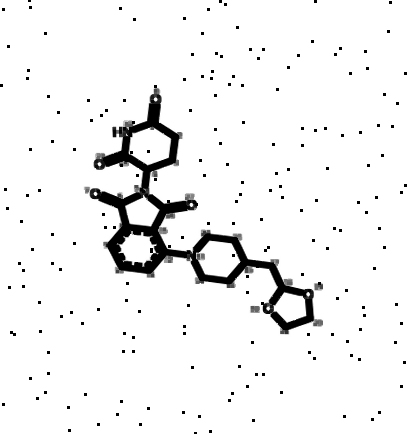 O=C1CCC(N2C(=O)c3cccc(N4CCC(CC5OCCO5)CC4)c3C2=O)C(=O)N1